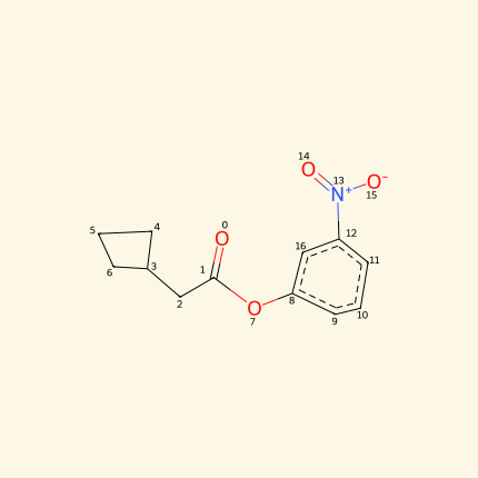 O=C(CC1CCC1)Oc1cccc([N+](=O)[O-])c1